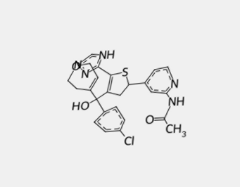 CC(=O)Nc1cc(C2CC(C(O)(C3=CCOCC3)c3ccc(Cl)cc3)=C(c3nnc[nH]3)S2)ccn1